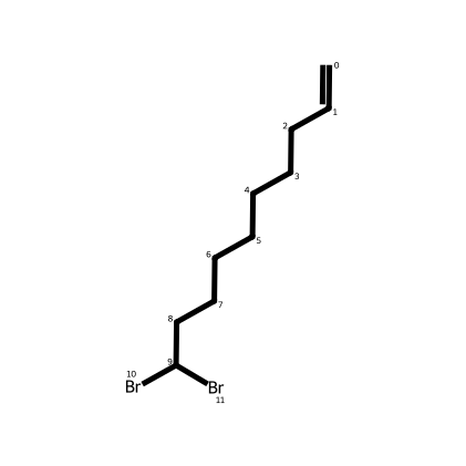 C=CCCCCCCCC(Br)Br